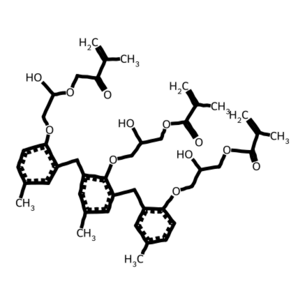 C=C(C)C(=O)COC(O)COc1ccc(C)cc1Cc1cc(C)cc(Cc2cc(C)ccc2OCC(O)COC(=O)C(=C)C)c1OCC(O)COC(=O)C(=C)C